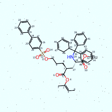 C/C=C(/C)OC(=O)[C@@H](CCCOS(=O)(=O)c1ccc(-c2ccccc2)cc1)C[C@H](NC(c1ccccc1)(c1ccccc1)C1C=CC=CC1)C(=O)OC(C)(C)C